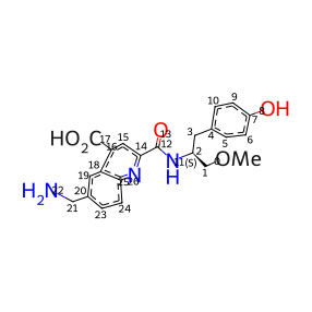 COC[C@H](Cc1ccc(O)cc1)NC(=O)c1cc(C(=O)O)c2cc(CN)ccc2n1